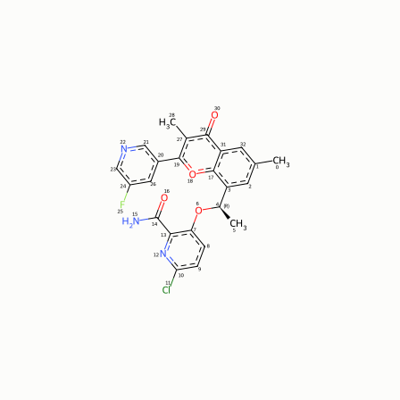 Cc1cc([C@@H](C)Oc2ccc(Cl)nc2C(N)=O)c2oc(-c3cncc(F)c3)c(C)c(=O)c2c1